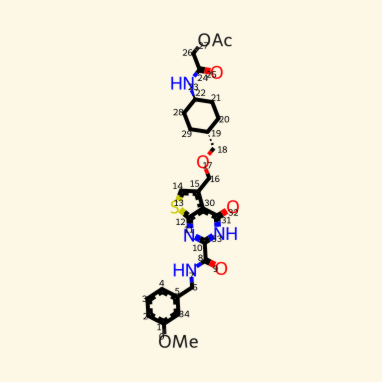 COc1cccc(CNC(=O)c2nc3scc(COC[C@H]4CC[C@H](NC(=O)COC(C)=O)CC4)c3c(=O)[nH]2)c1